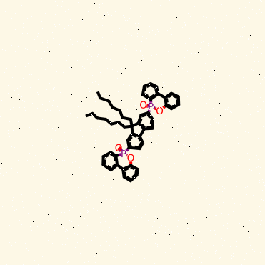 CCCCCCCC1(CCCCCCC)c2cc(P3(=O)Oc4ccccc4-c4ccccc43)ccc2-c2ccc(P3(=O)Oc4ccccc4-c4ccccc43)cc21